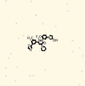 Cc1cc(-c2cc(N3CCCCC3)c(=O)n(-c3cc(N4CC[C@H](O)C4)ccc3C(F)(F)F)n2)cc(-c2cnco2)c1